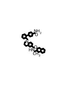 CC(NC(=O)c1ccc2c(c1)CCCN2Cc1ccccc1-c1ccc(C(N)=O)cc1)c1ccc2ccccc2c1